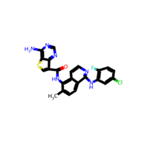 Cc1ccc2c(Nc3cc(Cl)ccc3F)nccc2c1NC(=O)c1csc2c(N)ncnc12